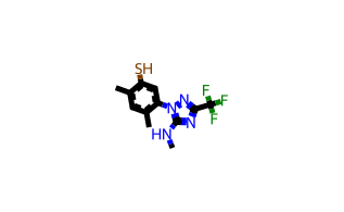 CNc1nc(C(F)(F)F)nn1-c1cc(S)c(C)cc1C